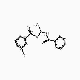 CCCCC(NC(=O)c1ccccc1)OC(=O)c1cccc(O)c1